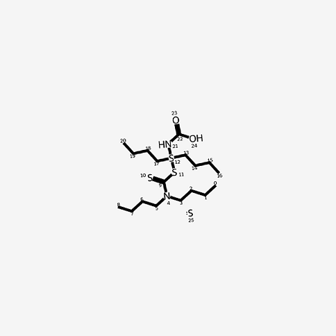 CCCCN(CCCC)C(=S)SS(CCCC)(CCCC)NC(=O)O.[S]